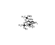 CCOC(C)(OC)O[Si](CCCN)(OC(C)(OC)OCC)OC(C)(OC)OCC